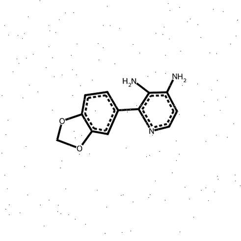 Nc1ccnc(-c2ccc3c(c2)OCO3)c1N